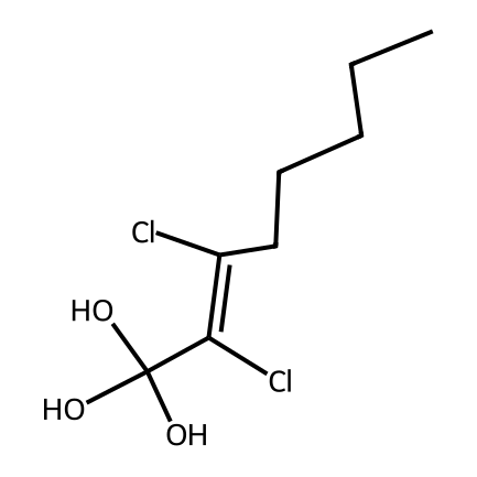 CCCCC/C(Cl)=C(\Cl)C(O)(O)O